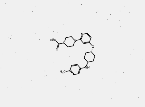 CCCCC(=O)N1CCN(c2cc(O[C@H]3CC[C@H](Nc4ccc(C)cc4)CC3)ccn2)CC1